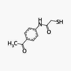 CC(=O)c1ccc(NC(=O)CS)cc1